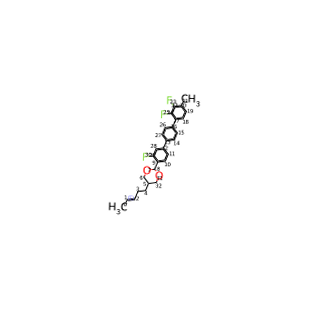 C/C=C/CCC1COC(c2ccc(-c3ccc(-c4ccc(C)c(F)c4F)cc3)cc2F)OC1